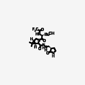 CC[C@@H](C)[C@H](NC(=O)C(F)(F)F)C(=O)N1C[C@H]2[C@@H](C1C(=O)NNC[C@@H]1CCNC1=O)C2(C)C.Cl